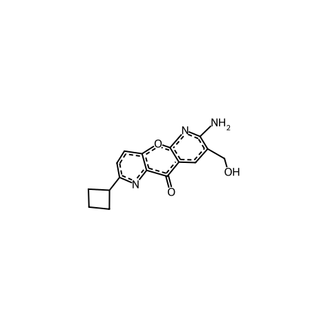 Nc1nc2oc3ccc(C4CCC4)nc3c(=O)c2cc1CO